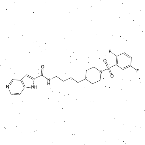 O=C(NCCCCC1CCN(S(=O)(=O)c2cc(F)ccc2F)CC1)c1cc2cnccc2[nH]1